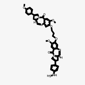 COc1ccc(C2=CN3C(=O)c4cc(OC)c(OCCCOc5cc6c(cc5OC)C(=O)N5C=C(c7ccc(NS)cc7)C[C@H]5C=N6)cc4N=C[C@@H]3C2)cc1